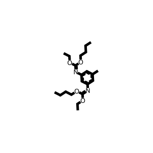 CCCCOC(=Nc1cc(C)cc(N=C(OCC)OCCCC)c1)OCC